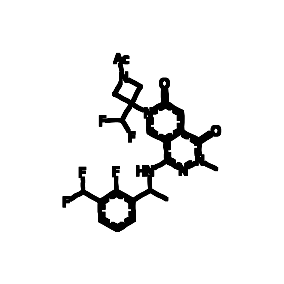 CC(=O)N1CC(C(F)F)(n2cc3c(NC(C)c4cccc(C(F)F)c4F)nn(C)c(=O)c3cc2=O)C1